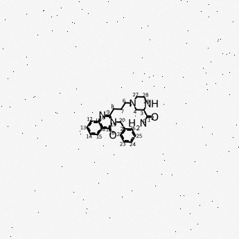 NC(=O)C1CN(CCCc2nc3ccccc3c(=O)n2Cc2ccccc2)CCN1